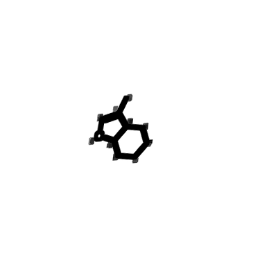 CC1=COC2CCCCC12